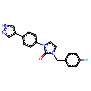 O=c1n(Cc2ccc(F)cc2)ccn1-c1ccc(-c2cn[nH]c2)cc1